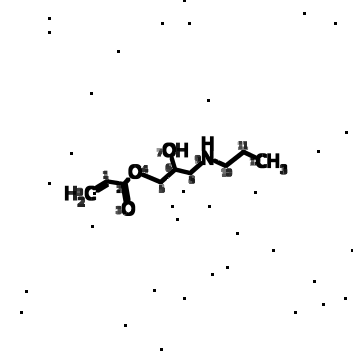 C=CC(=O)OCC(O)CNCCC